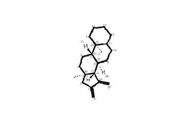 C=C1C[C@@]2(C)CC[C@H]3[C@@H](CCC4CCCC[C@@]43C)[C@@H]2C1=C